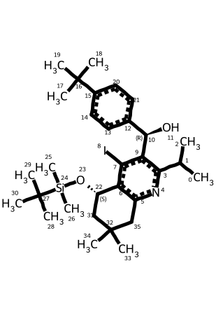 CC(C)c1nc2c(c(I)c1[C@H](O)c1ccc(C(C)(C)C)cc1)[C@@H](O[Si](C)(C)C(C)(C)C)CC(C)(C)C2